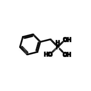 O[PH](O)(O)Cc1ccccc1